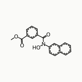 COC(=O)c1cccc(C(=O)N(O)c2ccc3ccccc3c2)c1